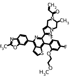 C=CC(=O)N1Cc2cc(-c3nc(-c4ccc5nc(C)oc5c4)c4ccsc4c3-c3c(F)cc(F)cc3OCCOC)nn2CC1C